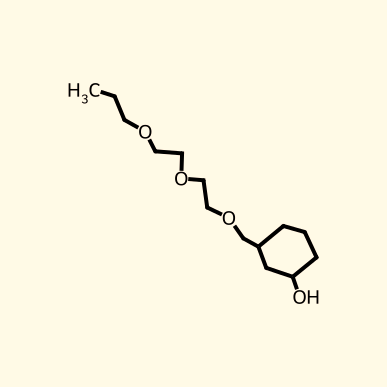 CCCOCCOCCOCC1CCCC(O)C1